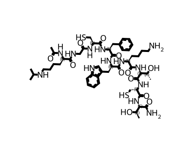 CC(=O)N[C@H](CCCCNC(C)C)C(=O)NCC(=O)N[C@@H](CS)C(=O)N[C@@H](Cc1ccccc1)C(=O)N[C@H](Cc1c[nH]c2ccccc12)C(=O)N[C@@H](CCCCN)C(=O)N[C@H](C(=O)N[C@@H](CS)C(=O)N[C@H](C(N)=O)[C@@H](C)O)[C@@H](C)O